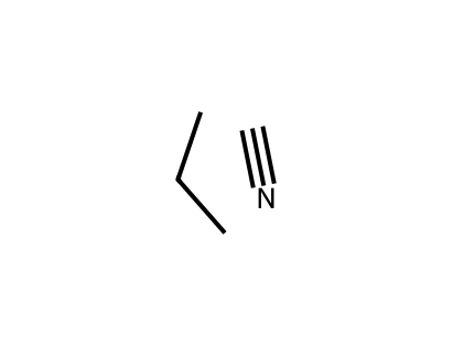 C#N.CCC